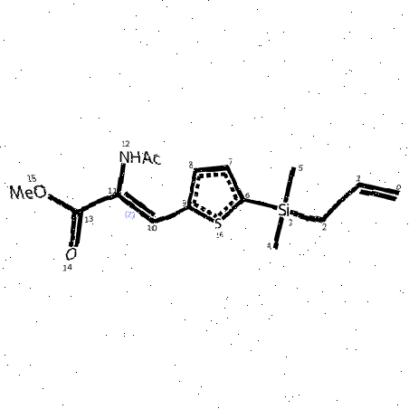 C=CC[Si](C)(C)c1ccc(/C=C(\NC(C)=O)C(=O)OC)s1